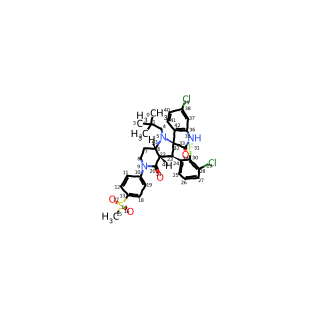 CC(C)(C)CN1[C@H]2CCN(c3ccc(S(C)(=O)=O)cc3)C(=O)[C@H]2[C@H](c2cccc(Cl)c2F)[C@]12C(=O)Nc1cc(Cl)ccc12